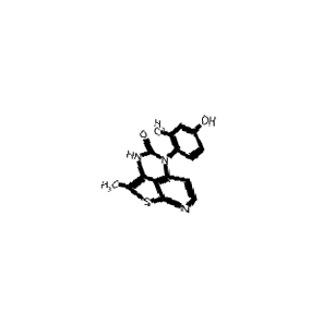 Cc1cc(O)ccc1N1C(=O)Nc2c(C)sc3nccc1c23